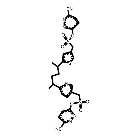 CC(CCC(C)c1cc(CS(=O)(=O)Oc2ccc(C#N)nn2)cs1)c1ccc(CS(=O)(=O)Oc2ccc(C#N)nn2)cn1